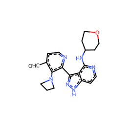 O=Cc1ccnc(-c2n[nH]c3ccnc(NC4CCOCC4)c23)c1N1CCC1